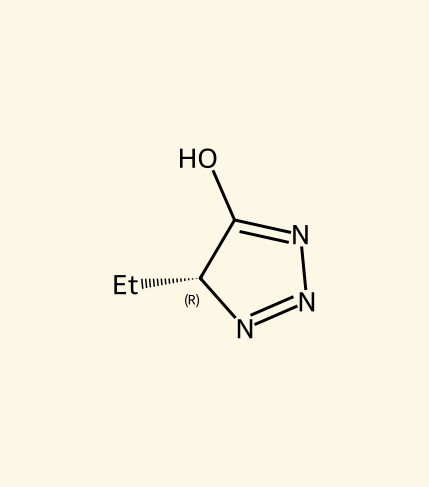 CC[C@H]1N=NN=C1O